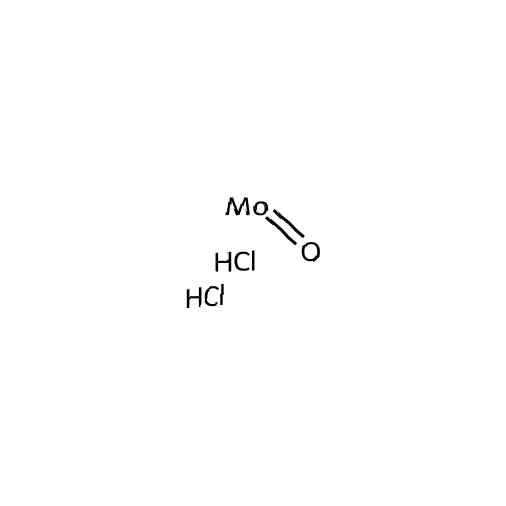 Cl.Cl.[O]=[Mo]